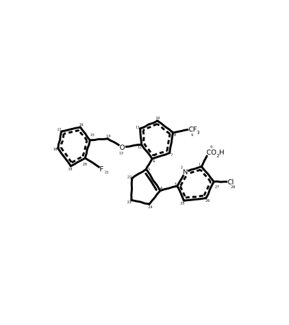 O=C(O)c1nc(C2=C(c3cc(C(F)(F)F)ccc3OCc3ccccc3F)CCC2)ccc1Cl